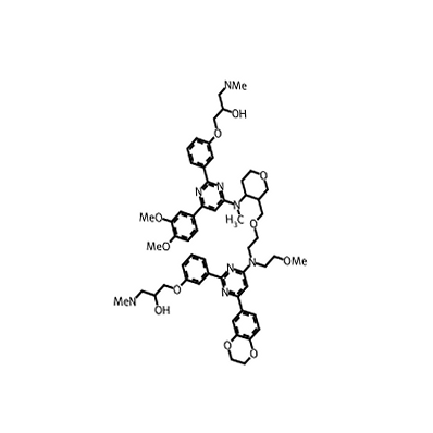 CNCC(O)COc1cccc(-c2nc(-c3ccc4c(c3)OCCO4)cc(N(CCOC)CCOCC3COCCC3N(C)c3cc(-c4ccc(OC)c(OC)c4)nc(-c4cccc(OCC(O)CNC)c4)n3)n2)c1